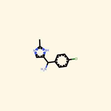 Cc1ncc(C(N)c2ccc(Cl)cc2)[nH]1